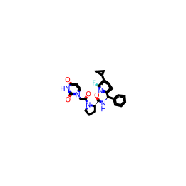 O=C(N[C@@H](c1ccccc1)c1ccc(C2CC2)c(F)n1)[C@@H]1CCCN1C(=O)Cn1ccc(=O)[nH]c1=O